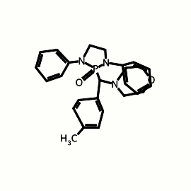 Cc1ccc(C(N2CCOCC2)P2(=O)N(c3ccccc3)CCN2c2ccccc2)cc1